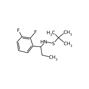 CCC(NSC(C)(C)C)c1cccc(F)c1F